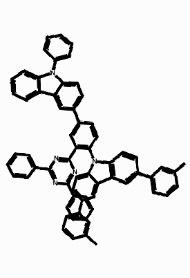 Cc1cccc(-c2ccc3c(c2)c2cc(-c4cccc(C)c4)ccc2n3-c2ccc(-c3ccc4c(c3)c3ccccc3n4-c3ccccc3)cc2-c2nc(-c3ccccc3)nc(-c3ccccc3)n2)c1